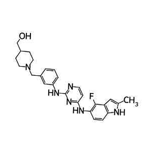 Cc1cc2c(F)c(Nc3ccnc(Nc4cccc(CN5CCC(CO)CC5)c4)n3)ccc2[nH]1